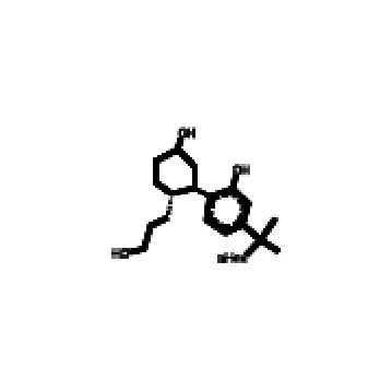 CCCCCCC(C)(C)c1ccc([C@@H]2CC(O)CC[C@H]2CCCO)c(O)c1